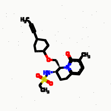 CC#CC1CCC(OC[C@H]2[C@@H](NS(=O)(=O)CC)CCc3ccc(C)c(=O)n32)CC1